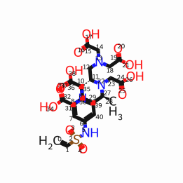 C=CS(=O)(=O)Nc1ccc(C[C@H](CN(CC(=O)O)CC(=O)O)N(CC(=O)O)[C@@H](C)CN(CC(=O)O)CC(=O)O)cc1